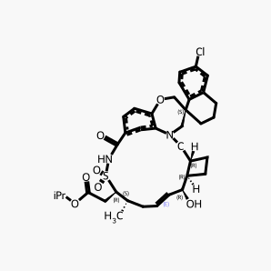 CC(C)OC(=O)C[C@@H]1[C@@H](C)C/C=C/[C@H](O)[C@@H]2CC[C@H]2CN2C[C@@]3(CCCc4cc(Cl)ccc43)COc3ccc(cc32)C(=O)NS1(=O)=O